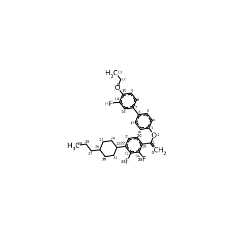 C=C(Oc1ccc(-c2ccc(OCC)c(F)c2)cc1)c1ccc(C2CCC(CCC)CC2)c(F)c1F